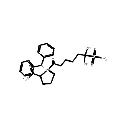 CC(C)C(C#N)(CCCCC(=O)[N@@+]1(C(c2ccccc2)c2ccccc2)CCCC1C(N)=O)S(C)(=O)=O